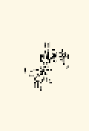 CC(C)(C)OC(=O)N1CCNC(C(C)(C)O)C1